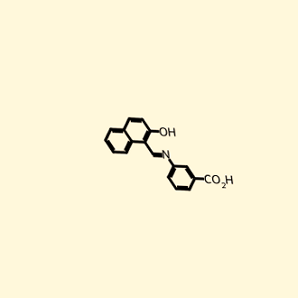 O=C(O)c1cccc(/N=C/c2c(O)ccc3ccccc23)c1